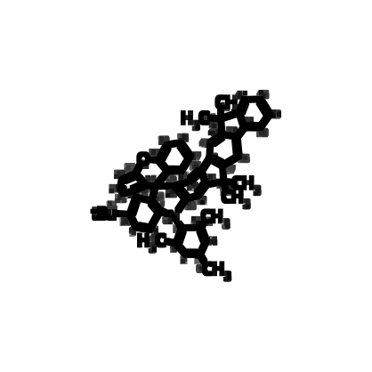 Cc1cc(C)c(N2c3ccc(C(C)(C)C)cc3C3(c4ccccc4Oc4ccccc43)c3cc4c(cc32)C(C)(C)c2cc3c(cc2-4)C(C)(C)c2ccccc2-3)c(C)c1